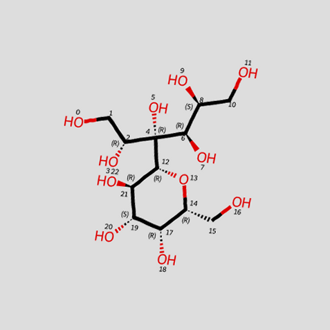 OC[C@@H](O)[C@@](O)([C@H](O)[C@@H](O)CO)[C@@H]1O[C@H](CO)[C@H](O)[C@H](O)[C@H]1O